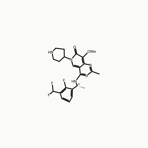 COc1c(=O)n(C2CCNCC2)cc2c(N[C@H](C)c3cccc(C(F)F)c3F)nc(C)nc12